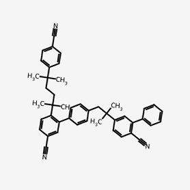 CC(C)(CCC(C)(C)c1ccc(C#N)cc1-c1ccc(CC(C)(C)c2ccc(C#N)c(-c3ccccc3)c2)cc1)c1ccc(C#N)cc1